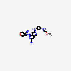 COCCN[C@H]1CC[C@H](Nc2cc3c(NCC4(C#N)CCOCC4)nc(C#N)cc3cn2)C1